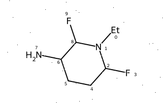 CCN1C(F)CCC(N)C1F